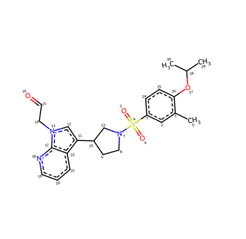 Cc1cc(S(=O)(=O)N2CCC(c3cn(CC=O)c4ncccc34)C2)ccc1OC(C)C